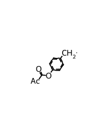 [CH2]c1ccc(OC(=O)C(C)=O)cc1